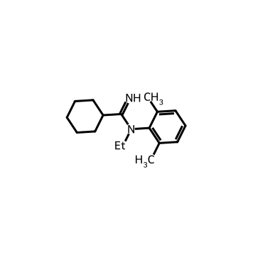 CCN(C(=N)C1CCCCC1)c1c(C)cccc1C